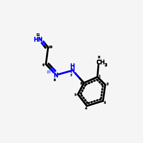 Cc1ccccc1N/N=C\C=N